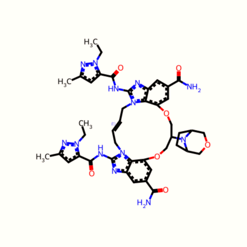 CCn1nc(C)cc1C(=O)Nc1nc2cc(C(N)=O)cc3c2n1C/C=C/Cn1c(NC(=O)c2cc(C)nn2CC)nc2cc(C(N)=O)cc(c21)OCC(N1C2CCC1COC2)CO3